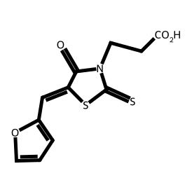 O=C(O)CCN1C(=O)/C(=C/c2ccco2)SC1=S